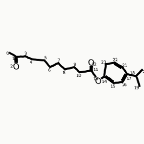 CC(=O)CCCCCCCCC(=O)OC1=CC=C(C(C)C)C=CC1